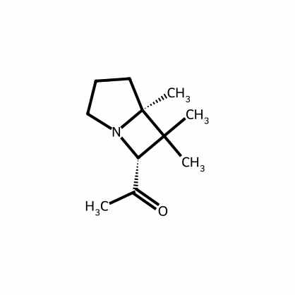 CC(=O)[C@@H]1N2CCC[C@@]2(C)C1(C)C